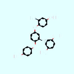 CC(C)(C)c1cc(O)ccc1Oc1ccc(Oc2ccc(O)cc2)c(C(C)(C)C)c1.Oc1ccc(O)cc1